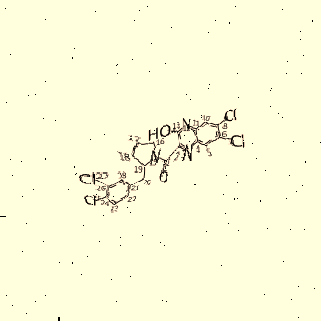 O=C(c1nc2cc(Cl)c(Cl)cc2nc1O)N1CCCC1Cc1ccc(Cl)c(Cl)c1